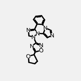 c1ccc2c(c1)C1=NCN(c3noc(C4CCCO4)n3)N1c1cncn1-2